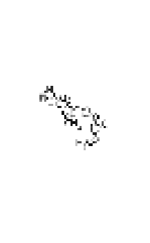 COCC(NC(=O)c1cncnc1)C(=O)NCc1ccc(Oc2ccc(OC)cc2Cl)cc1